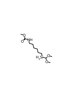 COC(=O)NCCCCCC[SiH2]C(OC)OC